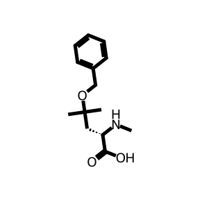 CN[C@@H](CC(C)(C)OCc1ccccc1)C(=O)O